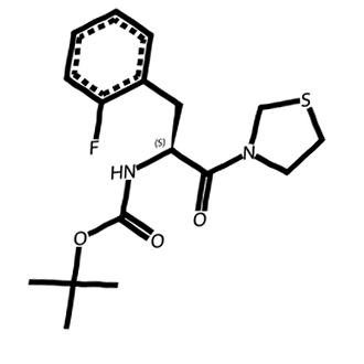 CC(C)(C)OC(=O)N[C@@H](Cc1ccccc1F)C(=O)N1CCSC1